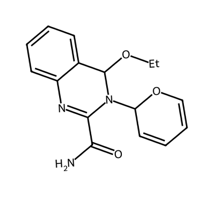 CCOC1c2ccccc2N=C(C(N)=O)N1C1C=CC=CO1